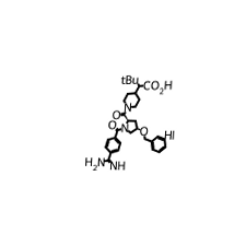 CC(C)(C)C(C(=O)O)C1CCN(C(=O)[C@H]2C[C@@H](OCc3ccccc3)CN2C(=O)c2ccc(C(=N)N)cc2)CC1.I